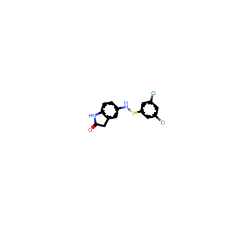 O=C1Cc2cc(NSc3cc(Cl)cc(Cl)c3)ccc2N1